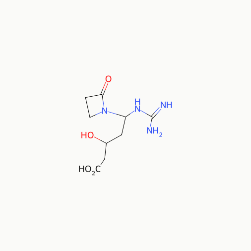 N=C(N)NC(CC(O)CC(=O)O)N1CCC1=O